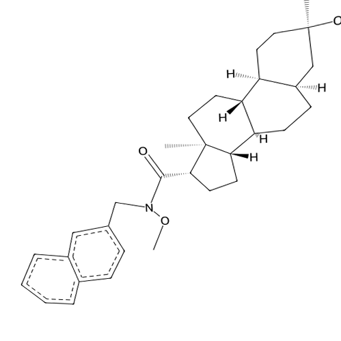 CON(Cc1ccc2ccccc2c1)C(=O)[C@H]1CC[C@H]2[C@@H]3CC[C@@H]4C[C@](C)(O)CC[C@@H]4[C@H]3CC[C@]12C